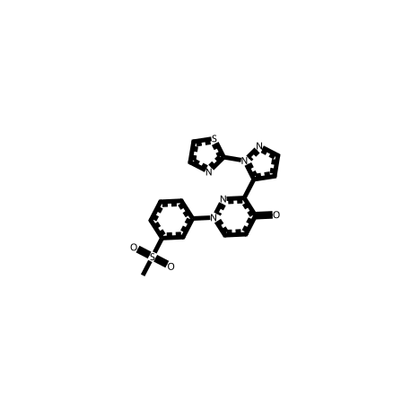 CS(=O)(=O)c1cccc(-n2ccc(=O)c(-c3ccnn3-c3nccs3)n2)c1